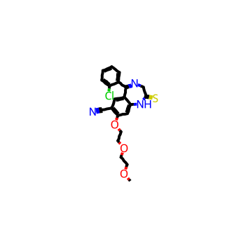 COCCOCCOc1cc2c(cc1C#N)C(c1ccccc1Cl)=NCC(=S)N2